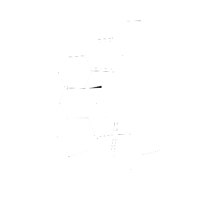 COc1ccc2c(c1)CCN1C[C@@H]3CCCN(S(=O)(=O)C(C)C(C)CCl)[C@@H]3C[C@@H]21